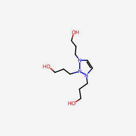 OCCCN1C=CN(CCCO)N1CCCO